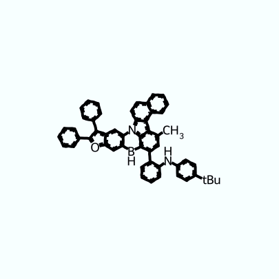 Cc1cc(-c2ccccc2Nc2ccc(C(C)(C)C)cc2)c2c3c1c1c4ccccc4ccc1n3-c1cc3c(-c4ccccc4)c(-c4ccccc4)oc3cc1B2